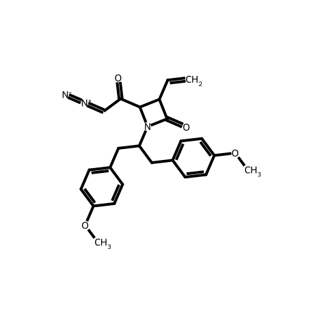 C=CC1C(=O)N(C(Cc2ccc(OC)cc2)Cc2ccc(OC)cc2)C1C(=O)C=[N+]=[N-]